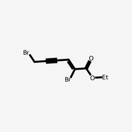 CCOC(=O)C(Br)=CC#CCBr